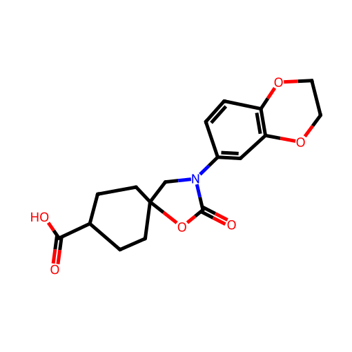 O=C(O)C1CCC2(CC1)CN(c1ccc3c(c1)OCCO3)C(=O)O2